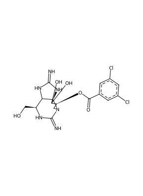 N=C1NC2[C@H](CO)NC(=N)N3C[C@H](OC(=O)c4cc(Cl)cc(Cl)c4)C(O)(O)[C@]23N1